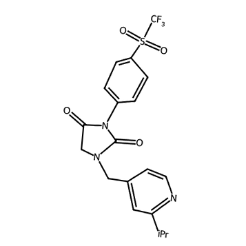 CC(C)c1cc(CN2CC(=O)N(c3ccc(S(=O)(=O)C(F)(F)F)cc3)C2=O)ccn1